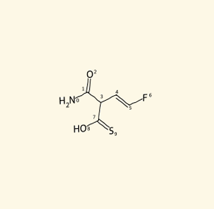 NC(=O)C(C=CF)C(O)=S